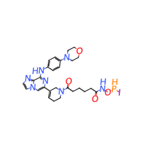 O=C(CCCCC(=O)N1CCC=C(c2cn3ccnc3c(Nc3ccc(N4CCOCC4)cc3)n2)C1)NOPI